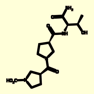 C[C@@H](O)[C@H](NC(=O)[C@H]1CCN(C(=O)[C@H]2CCN(C(=O)O)C2)C1)C(N)=O